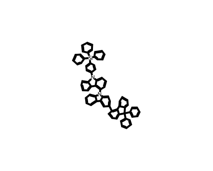 c1ccc(C2(c3ccccc3)c3ccccc3-c3c(-c4ccc5c(c4)c4ccccc4n5-c4cccc5c4c4ccccc4n5-c4ccc([Si](c5ccccc5)(c5ccccc5)c5ccccc5)cc4)cccc32)cc1